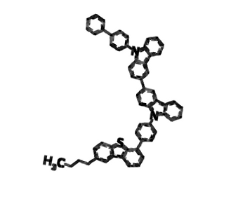 CCCCc1ccc2sc3c(-c4ccc(-n5c6ccccc6c6cc(-c7ccc8c(c7)c7ccccc7n8-c7ccc(-c8ccccc8)cc7)ccc65)cc4)cccc3c2c1